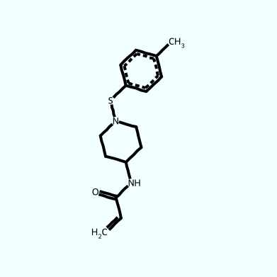 C=CC(=O)NC1CCN(Sc2ccc(C)cc2)CC1